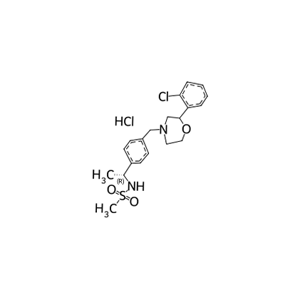 C[C@@H](NS(C)(=O)=O)c1ccc(CN2CCOC(c3ccccc3Cl)C2)cc1.Cl